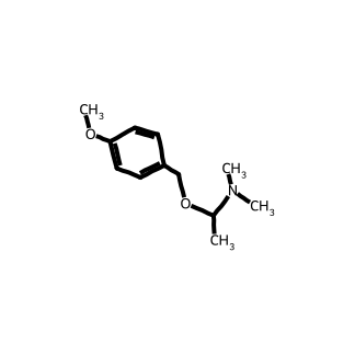 COc1ccc(COC(C)N(C)C)cc1